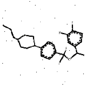 CCCC1CCC(c2ccc(C(F)(F)OC(C)c3ccc(F)c(F)c3)cc2)CC1